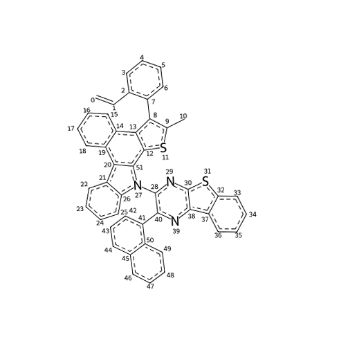 C=Cc1ccccc1-c1c(C)sc2c1c1ccccc1c1c3ccccc3n(-c3nc4sc5ccccc5c4nc3-c3cccc4ccccc34)c21